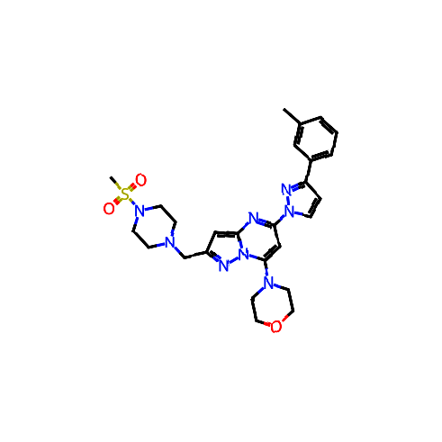 Cc1cccc(-c2ccn(-c3cc(N4CCOCC4)n4nc(CN5CCN(S(C)(=O)=O)CC5)cc4n3)n2)c1